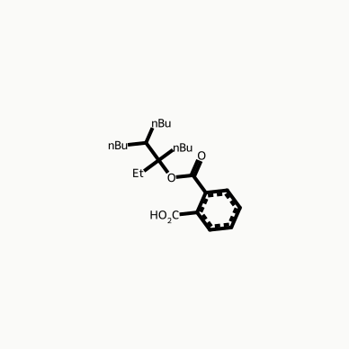 CCCCC(CCCC)C(CC)(CCCC)OC(=O)c1ccccc1C(=O)O